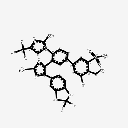 Cc1nc(-c2ccc3c(c2)OC(F)(F)O3)c(-c2cc(-c3cc(Cl)c(CO)c(S(C)(=O)=O)c3)ccc2-n2cc(C(F)(F)F)nc2C)o1